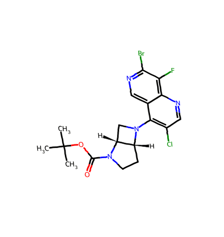 CC(C)(C)OC(=O)N1CC[C@@H]2[C@H]1CN2c1c(Cl)cnc2c(F)c(Br)ncc12